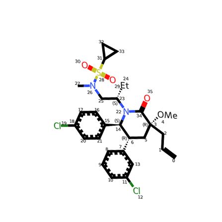 C=CC[C@@]1(OC)C[C@H](c2cccc(Cl)c2)[C@@H](c2ccc(Cl)cc2)N([C@@H](CC)CN(C)S(=O)(=O)C2CC2)C1=O